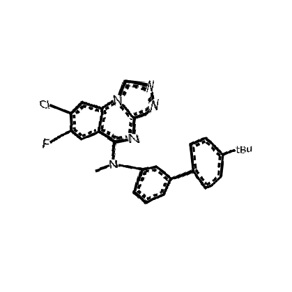 CN(c1cccc(-c2ccc(C(C)(C)C)cc2)c1)c1nc2nncn2c2cc(Cl)c(F)cc12